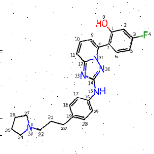 Oc1cc(F)ccc1-c1cccc2nc(Nc3ccc(CCCN4CCCC4)cc3)nn12